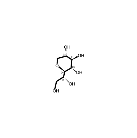 OC[C@@H](O)[C@H]1O[CH][C@H](O)[C@@H](O)[C@@H]1O